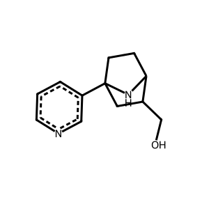 OCC1CC2(c3cccnc3)CCC1N2